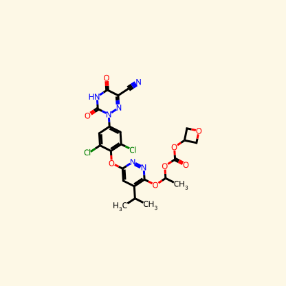 CC(OC(=O)OC1COC1)Oc1nnc(Oc2c(Cl)cc(-n3nc(C#N)c(=O)[nH]c3=O)cc2Cl)cc1C(C)C